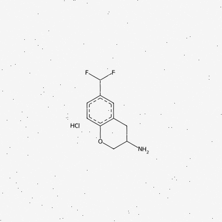 Cl.NC1COc2ccc(C(F)F)cc2C1